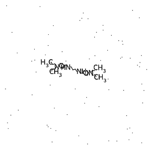 CCCN(CCC)c1ccc(CNCCCCNCc2ccc(N(CCC)CCC)cc2)cc1